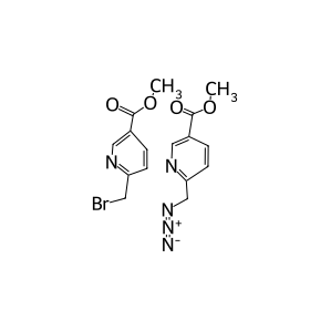 COC(=O)c1ccc(CBr)nc1.COC(=O)c1ccc(CN=[N+]=[N-])nc1